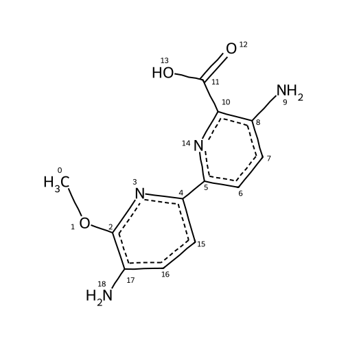 COc1nc(-c2ccc(N)c(C(=O)O)n2)ccc1N